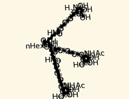 CCCCCCNC(=O)C(CCCCNC(=O)COCCOCCOCCO[C@@H]1O[C@H](CO)[C@H](O)[C@H](O)[C@H]1N)NC(=O)C(CCCCNC(=O)COCCOCCOCCO[C@@H]1O[C@H](CO)[C@H](O)[C@H](O)[C@H]1NC(C)=O)NC(=O)COCCOCCOCCO[C@@H]1O[C@H](CO)[C@H](O)[C@H](O)[C@H]1NC(C)=O